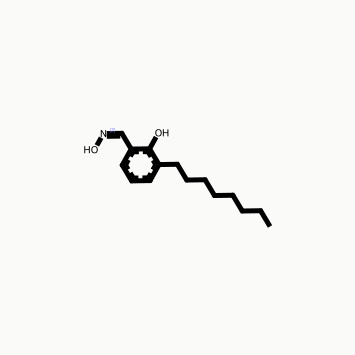 CCCCCCCCc1cccc(/C=N\O)c1O